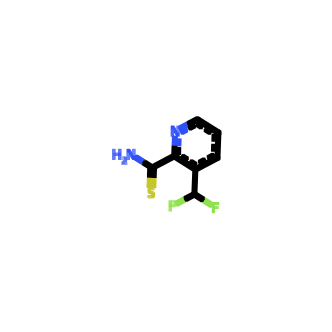 NC(=S)c1ncccc1C(F)F